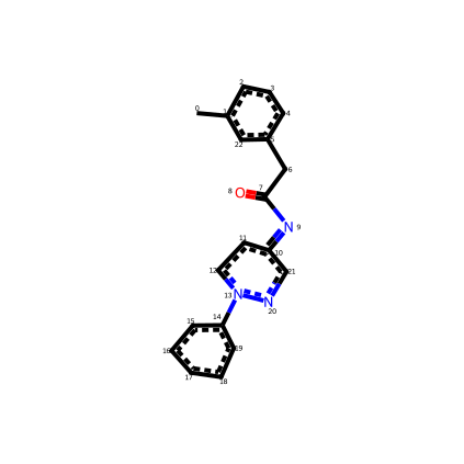 Cc1cccc(CC(=O)N=c2ccn(-c3ccccc3)nc2)c1